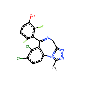 Cc1nnc2n1-c1ccc(Cl)c(Cl)c1C(c1c(F)ccc(O)c1F)=NC2